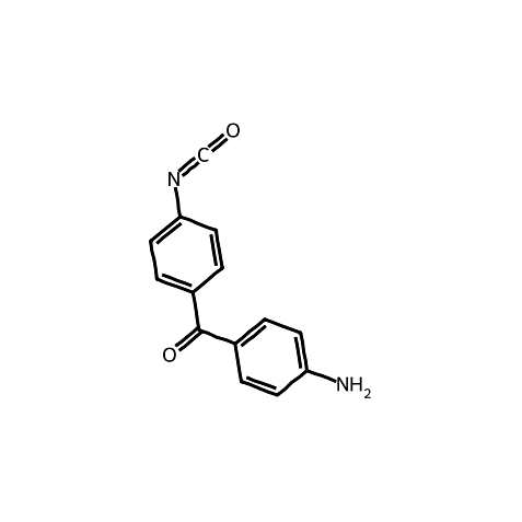 Nc1ccc(C(=O)c2ccc(N=C=O)cc2)cc1